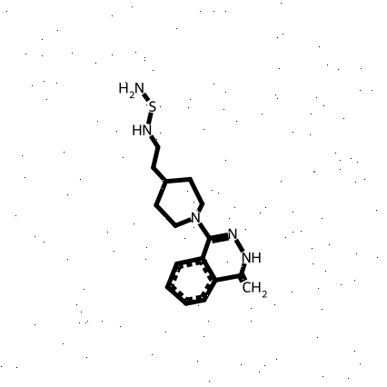 C=C1NN=C(N2CCC(CCNSN)CC2)c2ccccc21